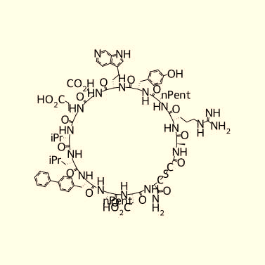 CCCCC[C@@H]1NC(=O)[C@H](Cc2ccc(-c3ccccc3)cc2)NC(=O)[C@H](CC(C)C)NC(=O)[C@H](C(C)C)NC(=O)[C@H](CCC(=O)O)NC(=O)[C@H](CC(=O)O)NC(=O)[C@H](CCc2c[nH]c3cnccc23)NC(=O)[C@H](Cc2ccc(O)cc2)NC(=O)[C@H](CCCCC)NC(=O)[C@H](CCCNC(=N)N)NC(=O)[C@@H](C)NC(=O)CSC[C@@H](C(N)=O)NC(=O)[C@H](CC(=O)O)NC1=O